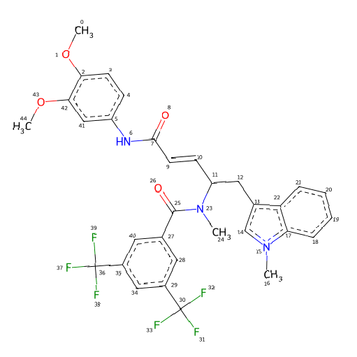 COc1ccc(NC(=O)C=CC(Cc2cn(C)c3ccccc23)N(C)C(=O)c2cc(C(F)(F)F)cc(C(F)(F)F)c2)cc1OC